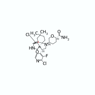 CC1(C)CCC2(CC1)N([C@@H]1CC[C@@H](C(N)=O)OC1)C[C@H](c1ccnc(Cl)c1F)[C@]21C(=O)Nc2cc(Cl)ccc21